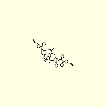 C=CCOC(=O)C(=O)N1C(=O)[C@H]([C@@H](C)O[Si](C)(C)C)[C@H]1CC(=O)C(C)=C[C@@H]1CCCN1C(=O)OCC=C